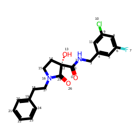 O=C(NCc1cc(F)cc(Cl)c1)[C@]1(O)CCN(CCc2ccccc2)C1=O